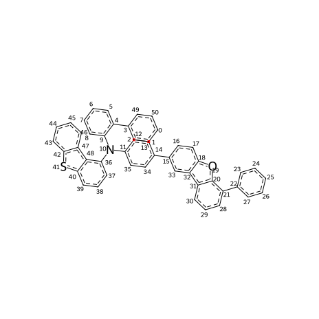 c1ccc(-c2ccccc2N(c2ccc(-c3ccc4oc5c(-c6ccccc6)cccc5c4c3)cc2)c2cccc3sc4ccccc4c23)cc1